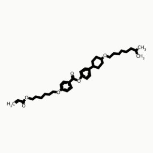 C=CC(=O)OCCCCCCOc1ccc(C(=O)Oc2ccc(C3CCC(OCCCCCCC(C)C)CC3)cc2)cc1